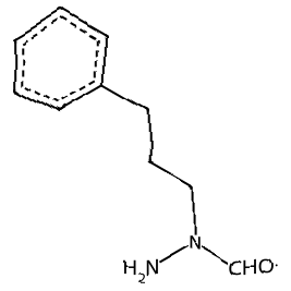 NN([C]=O)CCCc1ccccc1